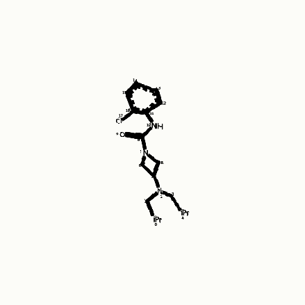 CC(C)CN(CC(C)C)C1CN(C(=O)Nc2ccccc2Cl)C1